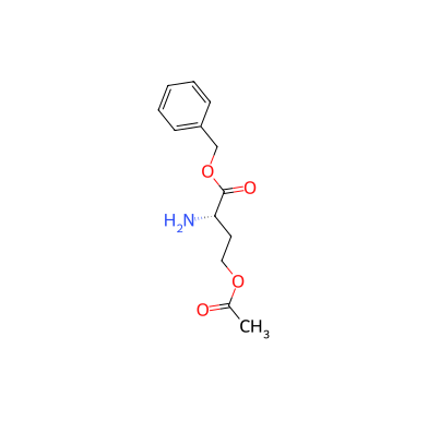 CC(=O)OCC[C@H](N)C(=O)OCc1ccccc1